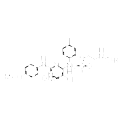 COc1ccc(Nc2ncc(Cl)c(Nc3ccc(C)cc3N(CCNC=O)S(C)(=O)=O)n2)c(OC)c1